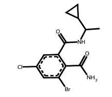 CC(NC(=O)c1cc(Cl)cc(Br)c1C(N)=O)C1CC1